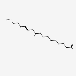 COCCCC=CCC(O)CCCCCCCCC(=O)O